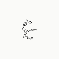 CCC(CC(=O)O)c1ccc(-c2ccc(CN3CCN(C(=O)c4ccccc4)CC3)cc2)c(OCCCOC)c1